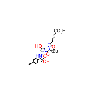 C#Cc1ccc(C(NC(=O)[C@@H]2C[C@@H](O)CN2C(=O)C(NC(=O)CCCCCCC(=O)O)C(C)(C)C)C(C)(C)O)cc1